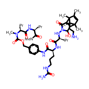 CNC(=O)[C@@H](NC(=O)[C@H](C(C)C)N(C)C(=O)OCc1ccc(NC(=O)[C@H](CCCNC(N)=O)NC(=O)[C@@H](NN2C(=O)C3C(C2O)C2(C)C=C(C)C3(C)C2(C)CCN)C(C)C)cc1)C(C)C